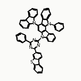 c1ccc(-c2nc(-c3ccc4c(c3)sc3ccccc34)nc(-n3c4ccccc4c4c3cc(-n3c5ccccc5c5ccccc53)c3c5ccccc5n(-c5ccccc5)c34)n2)cc1